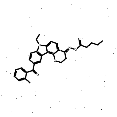 CCCCC(=O)O/N=C1\CCOc2c1ccc1c2c2cc(C(=O)c3ccccc3C)ccc2n1CC